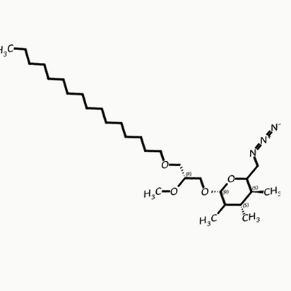 CCCCCCCCCCCCCCCCOC[C@H](CO[C@@H]1OC(CN=[N+]=[N-])[C@@H](C)[C@H](C)C1C)OC